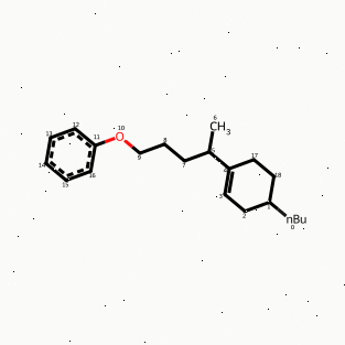 CCCCC1CC=C(C(C)CCCOc2ccccc2)CC1